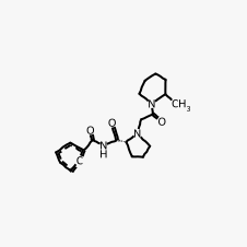 CC1CCCCN1C(=O)CN1CCC[C@@H]1C(=O)NC(=O)c1ccccc1